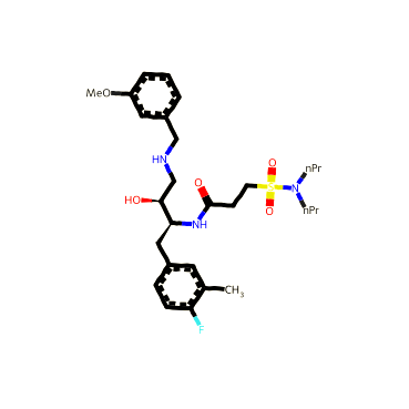 CCCN(CCC)S(=O)(=O)CCC(=O)N[C@@H](Cc1ccc(F)c(C)c1)[C@@H](O)CNCc1cccc(OC)c1